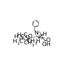 CC(C)(C)[Si](C)(C)OCC1[C@@H]2[C@H](CN1Cc1ccccc1)[C@H]2C(=O)O